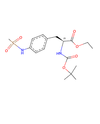 CCOC(=O)[C@H](Cc1ccc(NS(C)(=O)=O)cc1)NC(=O)OC(C)(C)C